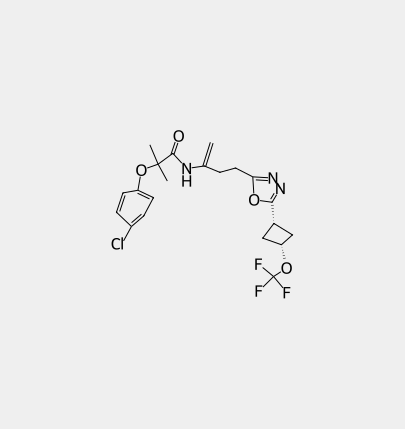 C=C(CCc1nnc([C@H]2C[C@@H](OC(F)(F)F)C2)o1)NC(=O)C(C)(C)Oc1ccc(Cl)cc1